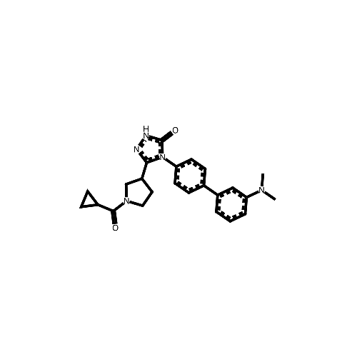 CN(C)c1cccc(-c2ccc(-n3c(C4CCN(C(=O)C5CC5)C4)n[nH]c3=O)cc2)c1